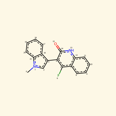 Cn1cc(-c2c(F)c3ccccc3[nH]c2=O)c2ccccc21